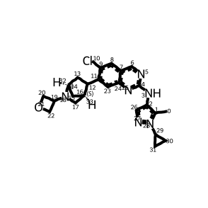 Cc1c(Nc2ncc3cc(Cl)c(C4C[C@H]5C[C@@H]4CN5C4COC4)cc3n2)cnn1C1CC1